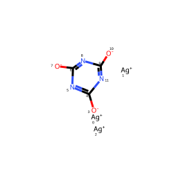 [Ag+].[Ag+].[Ag+].[O-]c1nc([O-])nc([O-])n1